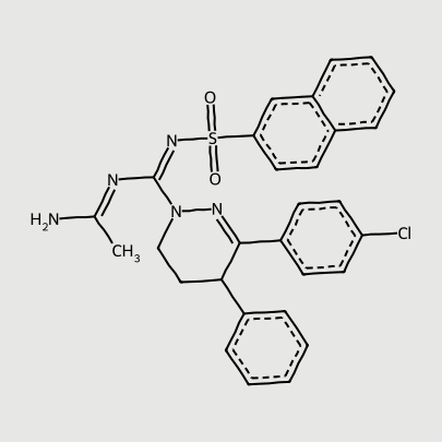 C/C(N)=N\C(=N\S(=O)(=O)c1ccc2ccccc2c1)N1CCC(c2ccccc2)C(c2ccc(Cl)cc2)=N1